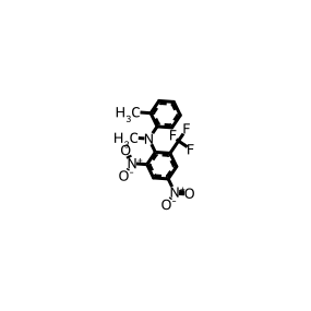 Cc1ccccc1N(C)c1c([N+](=O)[O-])cc([N+](=O)[O-])cc1C(F)(F)F